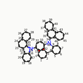 c1ccc(-c2ccccc2N(c2ccc(-n3c4ccccc4c4ccc5ccccc5c43)cc2)c2cc3ccccc3c3ccccc23)cc1